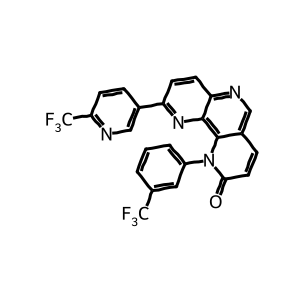 O=c1ccc2cnc3ccc(-c4ccc(C(F)(F)F)nc4)nc3c2n1-c1cccc(C(F)(F)F)c1